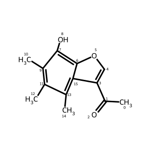 CC(=O)c1coc2c(O)c(C)c(C)c(C)c12